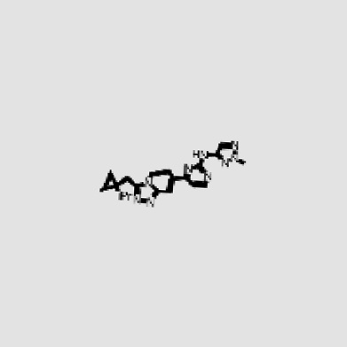 CC(C)C1(Cc2nnc3cc(-c4ccnc(Nc5cnn(C)n5)n4)ccn23)CC1